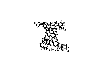 Cc1cccc(C)c1-c1cc(F)c(N(c2ccc([Si](C)(C)C)cc2)c2ccc3ccc4c(N(c5ccc([Si](C)(C)C)cc5)c5cc(F)c(-c6c(C)cccc6C)cc5F)ccc5ccc2c3c54)cc1F